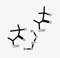 CC(C)[O][Zr+2][O]C(C)C.CCC(C)(C)C(=O)C(C)C(=O)[O-].CCC(C)(C)C(=O)C(C)C(=O)[O-]